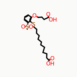 CS(=O)(=O)c1cccc(OCCCC(=O)O)c1SCCCCCCCCCCCC(=O)O